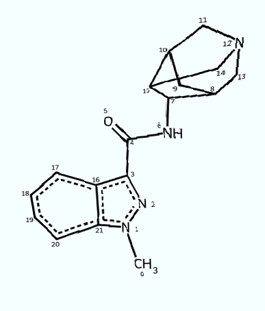 Cn1nc(C(=O)NC2C3CC4CN(C3)CC42)c2ccccc21